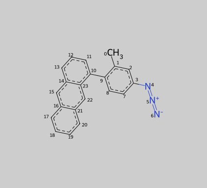 Cc1cc(N=[N+]=[N-])ccc1-c1cccc2cc3ccccc3cc12